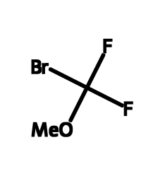 [CH2]OC(F)(F)Br